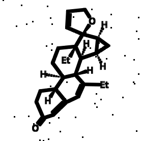 CCC1=CC2=CC(=O)CC[C@@H]2[C@H]2CC[C@@]3(CC)[C@@H]([C@@H]4C[C@@H]4[C@@]34C=CCO4)[C@H]12